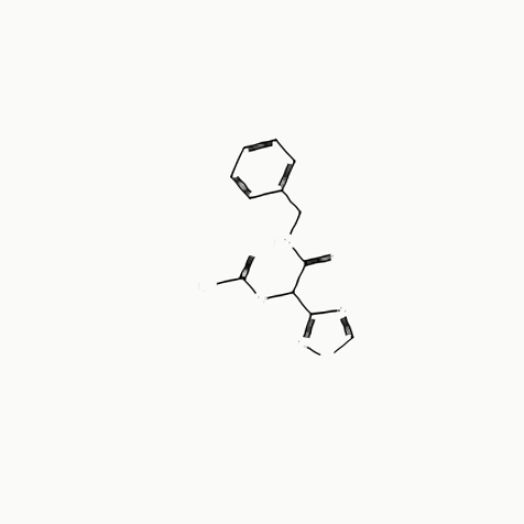 CC(=O)NC(C(=O)NCc1ccccc1)c1ncon1